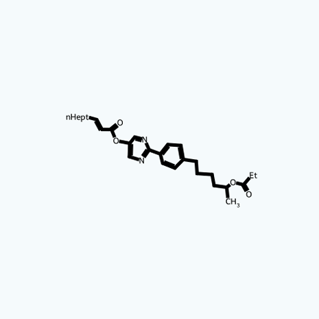 CCCCCCC/C=C/C(=O)Oc1cnc(-c2ccc(CCCCC(C)OC(=O)CC)cc2)nc1